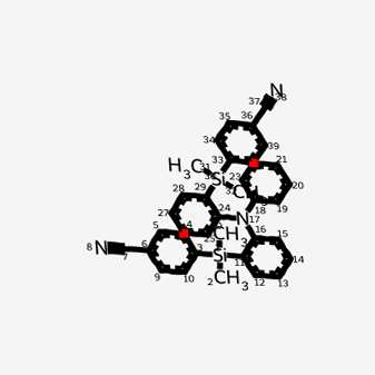 C[Si](C)(c1ccc(C#N)cc1)c1ccccc1N(c1ccccc1)c1ccccc1[Si](C)(C)c1ccc(C#N)cc1